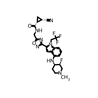 CN1CC[C@@H](Nc2cccc3c2cc(-c2noc(CNC(=O)[C@@H]4C[C@@H]4C#N)n2)n3CC(F)(F)F)[C@@H](F)C1